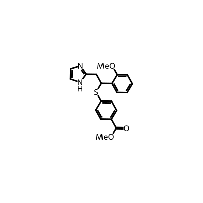 COC(=O)c1ccc(SC(Cc2ncc[nH]2)c2ccccc2OC)cc1